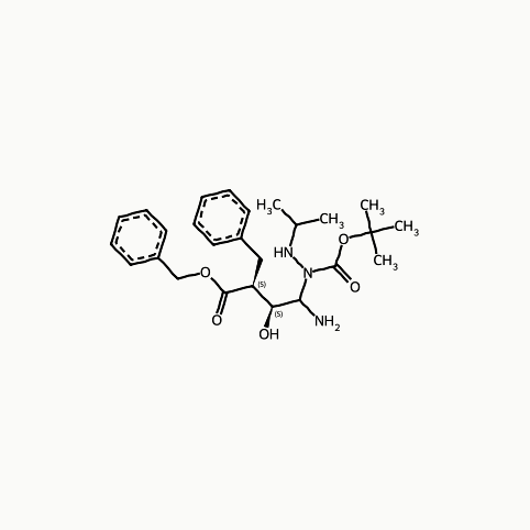 CC(C)NN(C(=O)OC(C)(C)C)C(N)[C@@H](O)[C@H](Cc1ccccc1)C(=O)OCc1ccccc1